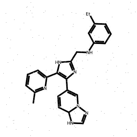 CCc1cccc(NCc2nc(C3=CN4N=CNC4C=C3)c(-c3cccc(C)n3)[nH]2)c1